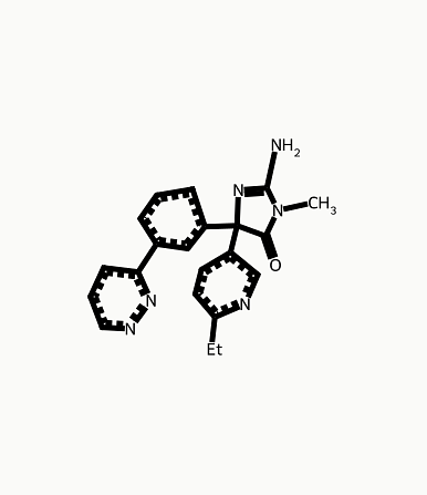 CCc1ccc(C2(c3cccc(-c4cccnn4)c3)N=C(N)N(C)C2=O)cn1